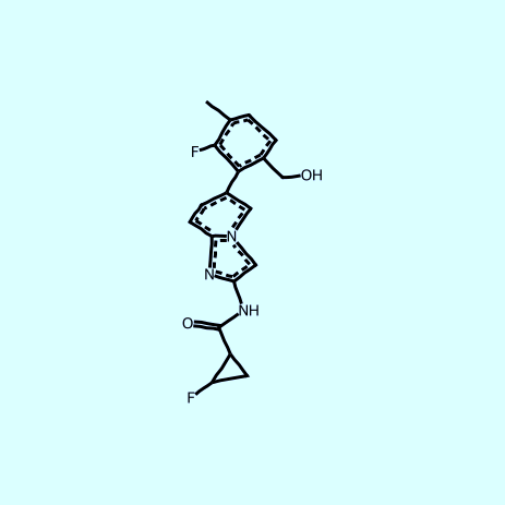 Cc1ccc(CO)c(-c2ccc3nc(NC(=O)C4CC4F)cn3c2)c1F